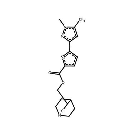 Cn1nc(-c2ccc(C(=O)OCC3CN4CCC3CC4)s2)cc1C(F)(F)F